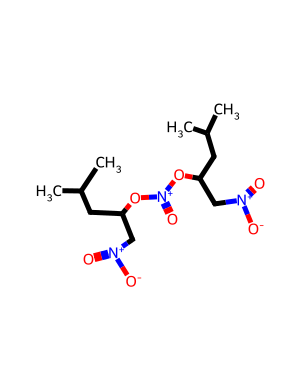 CC(C)CC(C[N+](=O)[O-])O[N+](=O)OC(CC(C)C)C[N+](=O)[O-]